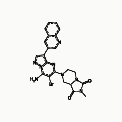 CN1C(=O)C2CN(c3nc4c(-c5cnc6ccccc6c5)cnn4c(N)c3Br)CCN2C1=O